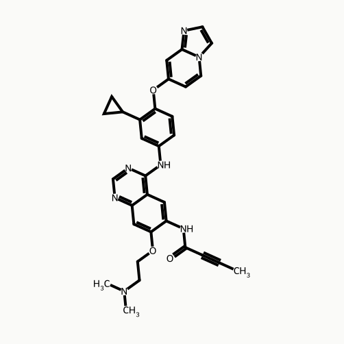 CC#CC(=O)Nc1cc2c(Nc3ccc(Oc4ccn5ccnc5c4)c(C4CC4)c3)ncnc2cc1OCCN(C)C